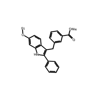 CCOc1ccc2c(Cc3cccc(C(=O)OC)c3)c(-c3ccccc3)[nH]c2c1